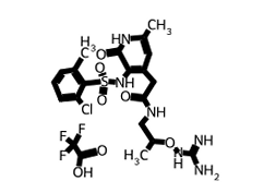 Cc1cc(CC(=O)NCC(C)ONC(=N)N)c(NS(=O)(=O)c2c(C)cccc2Cl)c(=O)[nH]1.O=C(O)C(F)(F)F